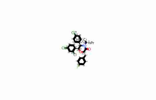 CCC[C@@H](C(=O)O)N1C(=O)[C@H](Cc2ccc(F)cc2)O[C@@H](c2ccc(Cl)cc2Cl)[C@H]1c1ccc(Cl)cc1